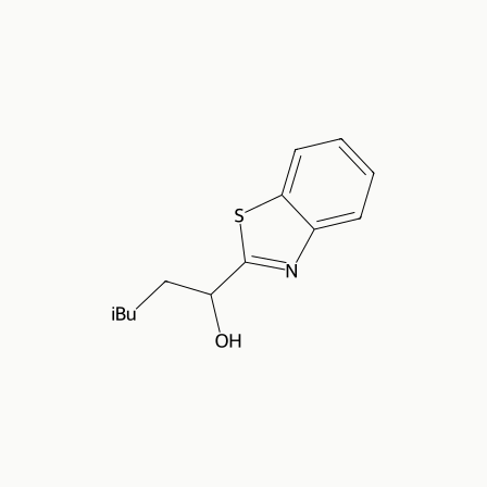 CCC(C)CC(O)c1nc2ccccc2s1